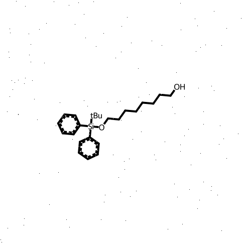 CC(C)(C)[Si](OCCCCCCCCO)(c1ccccc1)c1ccccc1